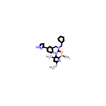 CSc1cc(C)c(NC(=O)N(Cc2ccccc2)Cc2cccc(-c3cc[nH]n3)c2)c(SC)n1